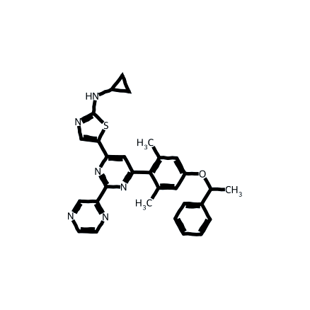 Cc1cc(OC(C)c2ccccc2)cc(C)c1-c1cc(-c2cnc(NC3CC3)s2)nc(-c2cnccn2)n1